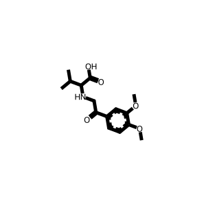 COc1ccc(C(=O)CNC(C(=O)O)C(C)C)cc1OC